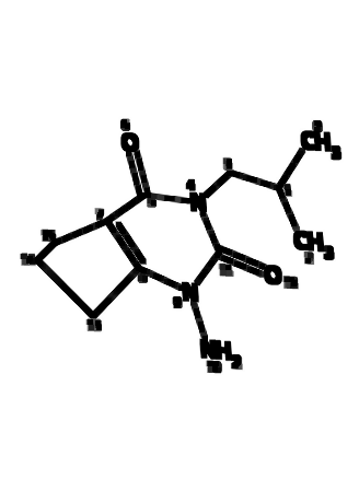 CC(C)Cn1c(=O)c2c(n(N)c1=O)CCC2